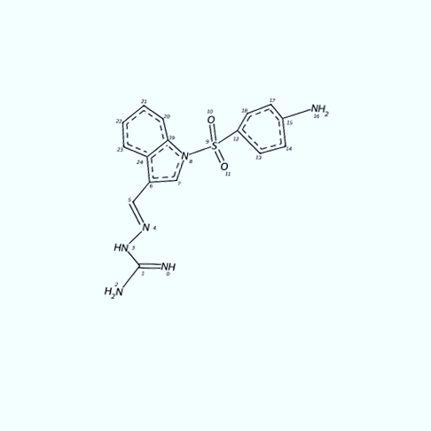 N=C(N)N/N=C/c1cn(S(=O)(=O)c2ccc(N)cc2)c2ccccc12